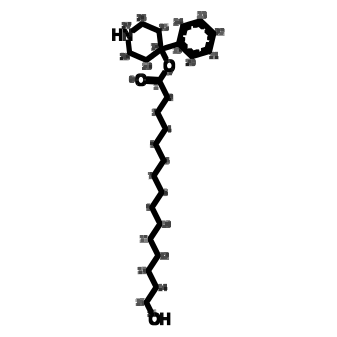 O=C(CCCCCCCCCCCCCCO)OC1(c2ccccc2)CCNCC1